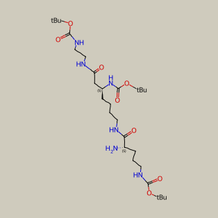 CC(C)(C)OC(=O)NCCC[C@H](N)C(=O)NCCCC[C@@H](CC(=O)NCCNC(=O)OC(C)(C)C)NC(=O)OC(C)(C)C